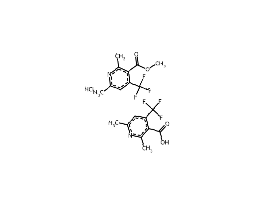 COC(=O)c1c(C(F)(F)F)cc(C)nc1C.Cc1cc(C(F)(F)F)c(C(=O)O)c(C)n1.Cl